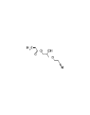 C=CC(=O)OCC(O)COCCC#N